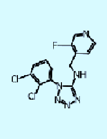 Fc1cnccc1CNc1nnnn1-c1cccc(Cl)c1Cl